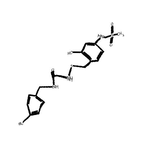 CC(C)(C)c1ccc(CNC(=O)NSCc2ccc(NS(C)(=O)=O)cc2O)cc1